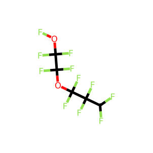 FOC(F)(F)C(F)(F)OC(F)(F)C(F)(F)[C](F)F